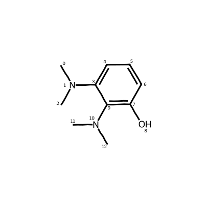 CN(C)c1cccc(O)c1N(C)C